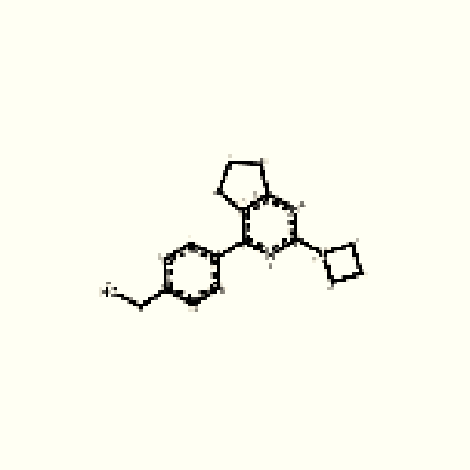 OCc1ccc(-c2nc(N3CCC3)nc3c2CCC3)cc1